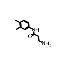 Cc1ccc(NC(=O)CCN)cc1C